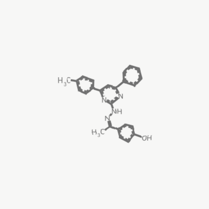 CC(=NNc1nc(-c2ccccc2)cc(-c2ccc(C)cc2)n1)c1ccc(O)cc1